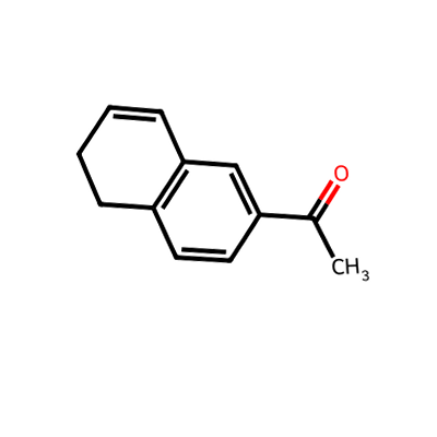 CC(=O)c1ccc2c(c1)C=CCC2